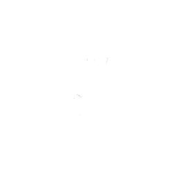 CCOC(=O)CCCCC(=O)OC1COCCO1